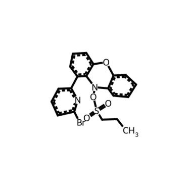 CCCS(=O)(=O)ON1c2ccccc2Oc2cccc(-c3cccc(Br)n3)c21